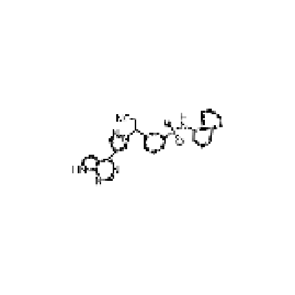 N#CCC(c1cccc(S(=O)(=O)Nc2cccc3ccccc23)c1)n1cc(-c2ncnc3[nH]ccc23)cn1